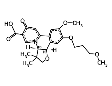 COCCCOc1cc2c(cc1OC)-c1cc(=O)c(C(=O)O)cn1[C@H]1[C@@H]2OCC1(C)C